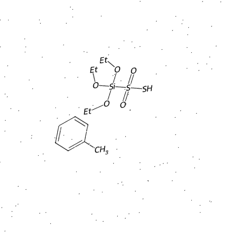 CCO[Si](OCC)(OCC)S(=O)(=O)S.Cc1ccccc1